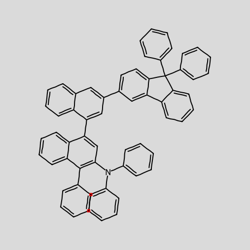 c1ccc(-c2c(N(c3ccccc3)c3ccccc3)cc(-c3cc(-c4ccc5c(c4)-c4ccccc4C5(c4ccccc4)c4ccccc4)cc4ccccc34)c3ccccc23)cc1